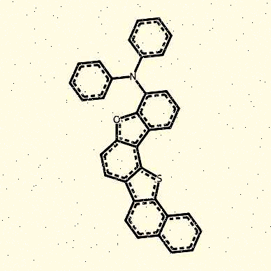 c1ccc(N(c2ccccc2)c2cccc3c2oc2ccc4c5ccc6ccccc6c5sc4c23)cc1